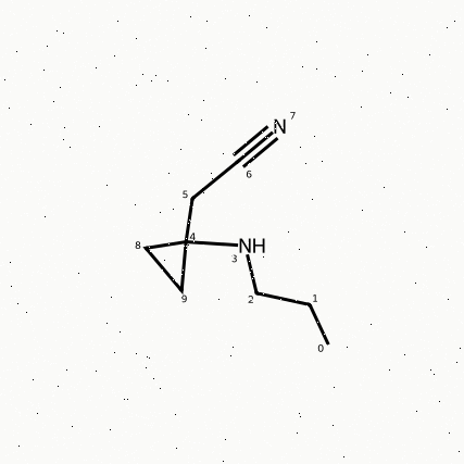 CCCNC1(CC#N)CC1